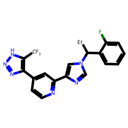 CCC(c1ccccc1F)n1cnc(-c2cc(-c3nn[nH]c3C(F)(F)F)ccn2)c1